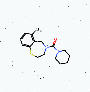 O=C(N1CCCCC1)N1CCSc2cccc(C(F)(F)F)c2C1